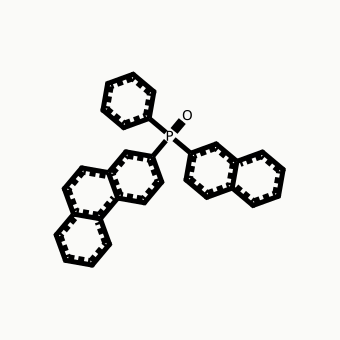 O=P(c1ccccc1)(c1ccc2ccccc2c1)c1ccc2c(ccc3ccccc32)c1